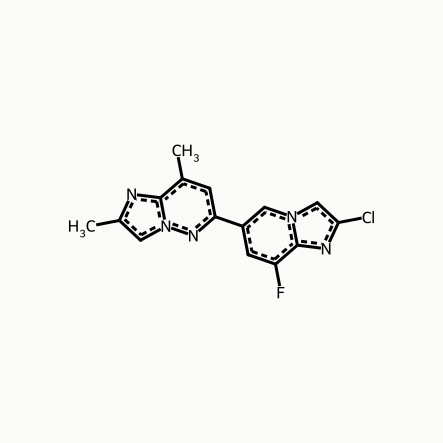 Cc1cn2nc(-c3cc(F)c4nc(Cl)cn4c3)cc(C)c2n1